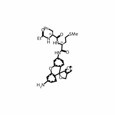 CCC(=O)N[C@@H](CC(C)C)C(=O)N[C@@H](CCSC)C(=O)Nc1ccc2c(c1)Oc1cc(N)ccc1C21OCc2ccccc21